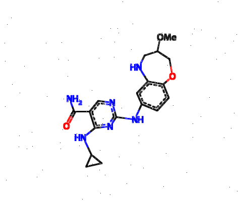 COC1CNc2cc(Nc3ncc(C(N)=O)c(NC4CC4)n3)ccc2OC1